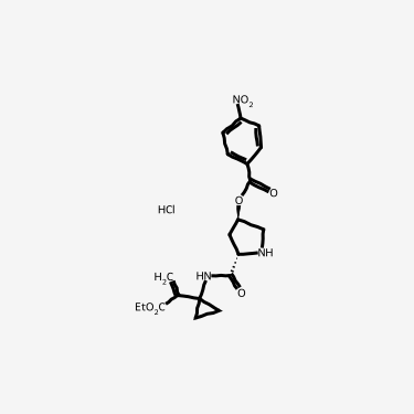 C=C(C(=O)OCC)C1(NC(=O)[C@@H]2C[C@@H](OC(=O)c3ccc([N+](=O)[O-])cc3)CN2)CC1.Cl